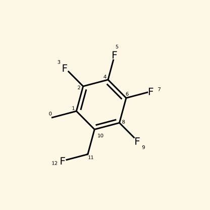 Cc1c(F)c(F)c(F)c(F)c1CF